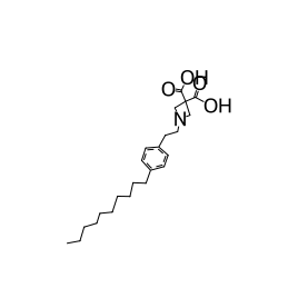 CCCCCCCCCCc1ccc(CCN2CC(C(=O)O)(C(=O)O)C2)cc1